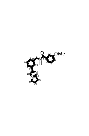 COc1cccc(C(=O)NCc2cccc(-c3cn4c(n3)CCC4)c2)c1